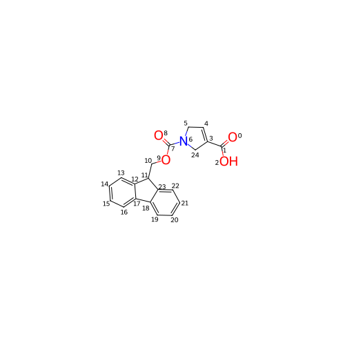 O=C(O)C1=CCN(C(=O)OCC2c3ccccc3-c3ccccc32)C1